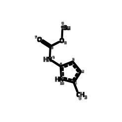 Cc1ccc(NC(=O)OC(C)(C)C)[nH]1